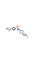 Cc1ccc([S+]([O-])/N=C/C2CCC(C)CC2)cc1